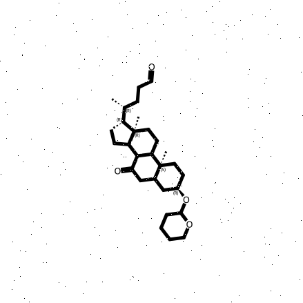 C[C@H](CCC=O)[C@H]1CCC2C3C(=O)CC4C[C@H](OC5CCCCO5)CC[C@]4(C)C3CC[C@@]21C